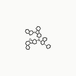 c1ccc(-c2ccc(N(c3ccc4c(c3)oc3ccc5ccccc5c34)c3ccc4c5ccccc5n(-c5ccc6ccccc6c5)c4c3)c3ccccc23)cc1